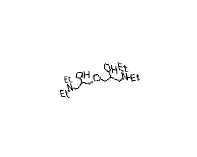 CCN(CC)CC(O)COCC(O)CN(CC)CC